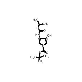 CC(C)OC(=O)N[C@@H]1CN(C(=O)OC(C)(C)C)C[C@H]1O